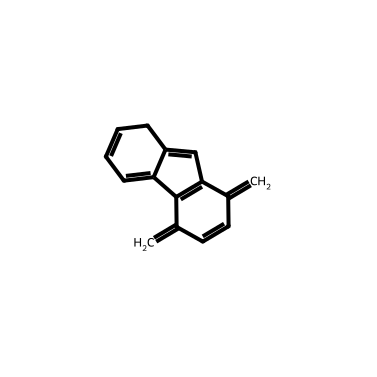 C=c1ccc(=C)c2c1C=C1CC=CC=C12